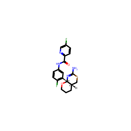 NC1=N[C@@]2(c3cc(NC(=O)c4ccc(F)cn4)ccc3F)OCCC[C@H]2CS1